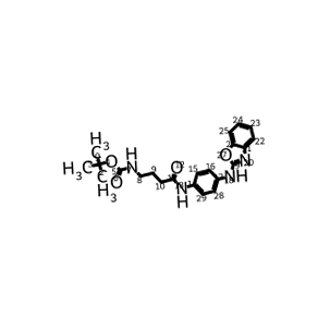 CC(C)(C)OC(=O)NCCCC(=O)Nc1ccc(Nc2nc3ccccc3o2)cc1